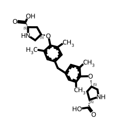 Cc1cc(Cc2cc(C)c(O[C@@H]3CN[C@H](C(=O)O)C3)c(C)c2)cc(C)c1O[C@@H]1CN[C@H](C(=O)O)C1